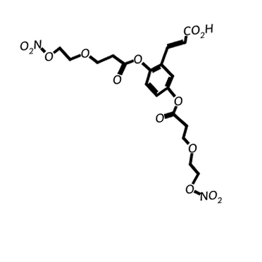 O=C(O)C=Cc1cc(OC(=O)CCOCCO[N+](=O)[O-])ccc1OC(=O)CCOCCO[N+](=O)[O-]